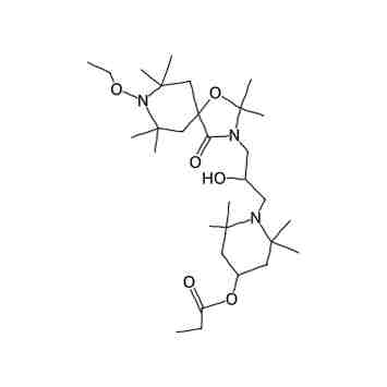 CCON1C(C)(C)CC2(CC1(C)C)OC(C)(C)N(CC(O)CN1C(C)(C)CC(OC(=O)CC)CC1(C)C)C2=O